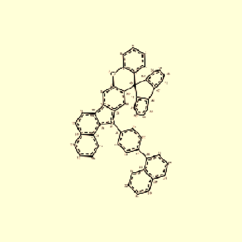 c1ccc2c(c1)Oc1cc3c4ccc5ccccc5c4n(-c4ccc(-c5cccc6ccccc56)cc4)c3cc1C21c2ccccc2-c2ccccc21